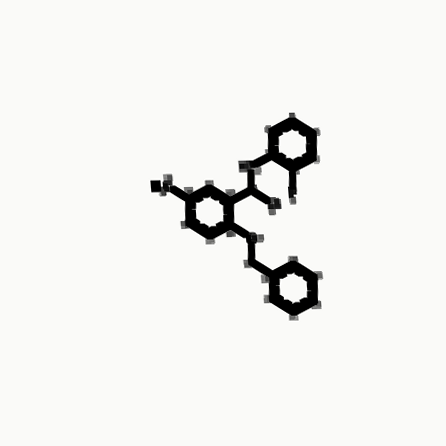 CCC(Pc1ccccc1F)c1cc(C)ccc1OCc1ccccc1